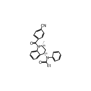 CCC(=O)N(c1ccccc1)[C@H]1C[C@@H](C)N(C(=O)c2ccc(C#N)cc2)c2ccccc21